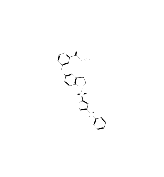 CNC(=O)c1cc(Oc2ccc3c(c2)CCN3S(=O)(=O)c2cc(S(=O)(=O)c3ccccc3)cs2)ccn1